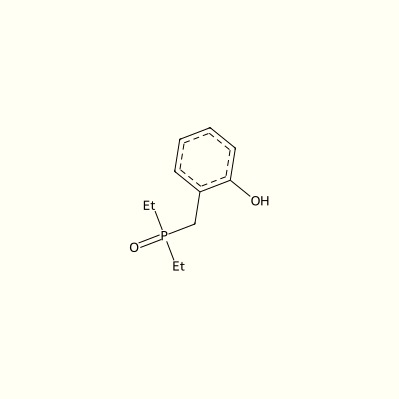 CCP(=O)(CC)Cc1ccccc1O